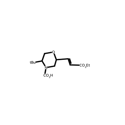 CCOC(=O)C=CC1CN(C(=O)O)C(C(C)(C)C)CO1